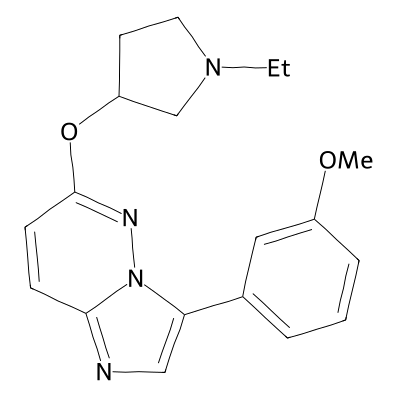 CCN1CCC(Oc2ccc3ncc(-c4cccc(OC)c4)n3n2)C1